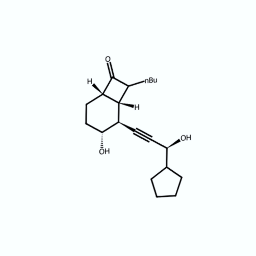 CCCCC1C(=O)[C@H]2CC[C@@H](O)[C@H](C#C[C@@H](O)C3CCCC3)[C@@H]12